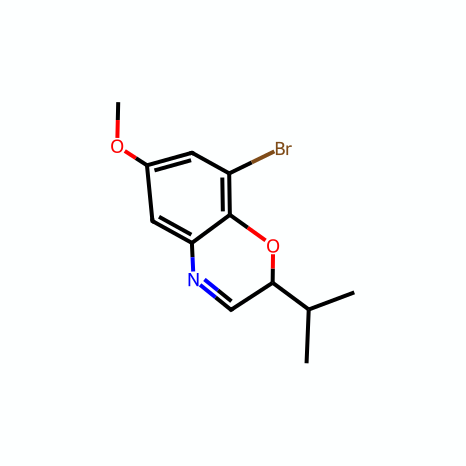 COc1cc(Br)c2c(c1)N=CC(C(C)C)O2